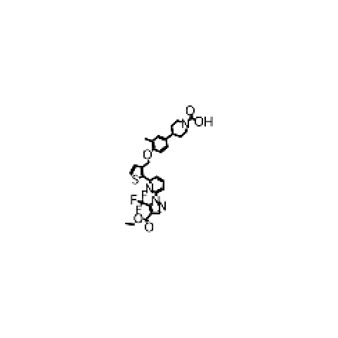 CCOC(=O)c1cnn(-c2cccc(-c3sccc3COc3ccc(C4CCN(C(=O)O)CC4)cc3C)n2)c1C(F)(F)F